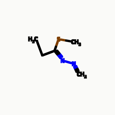 C=N/N=C(/CC)SC